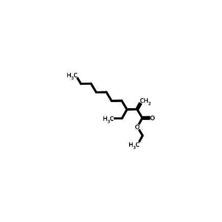 C=C(C(=O)OCC)C(CC)CCCCCCC